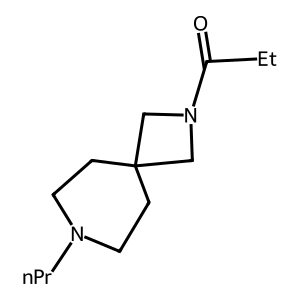 CCCN1CCC2(CC1)CN(C(=O)CC)C2